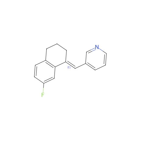 Fc1ccc2c(c1)/C(=C/c1cccnc1)CCC2